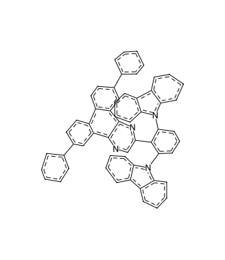 c1ccc(-c2ccc3c4ccc(-c5ccccc5)cc4c4nc(-c5c(-n6c7ccccc7c7ccccc76)cccc5-n5c6ccccc6c6ccccc65)cnc4c3c2)cc1